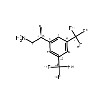 C[C@H](CN)c1cc(C(F)(F)F)cc(C(F)(F)F)c1